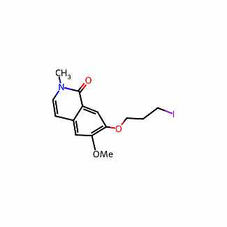 COc1cc2ccn(C)c(=O)c2cc1OCCCI